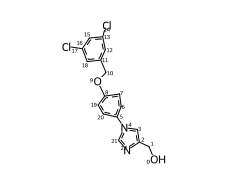 OCc1cn(-c2ccc(OCc3cc(Cl)cc(Cl)c3)cc2)cn1